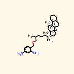 CC(CCCC(C)[C@H]1CC[C@H]2[C@@H]3CCC4CCCC[C@]4(C)[C@H]3CC[C@]12C)COCc1ccc(N)cc1N